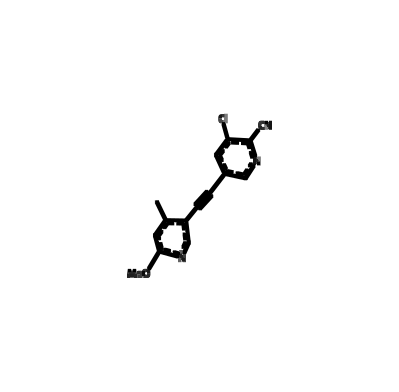 COc1cc(C)c(C#Cc2cnc(C#N)c(Cl)c2)cn1